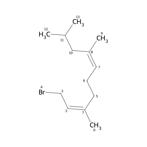 CC(=CCBr)CCC=C(C)CC(C)C